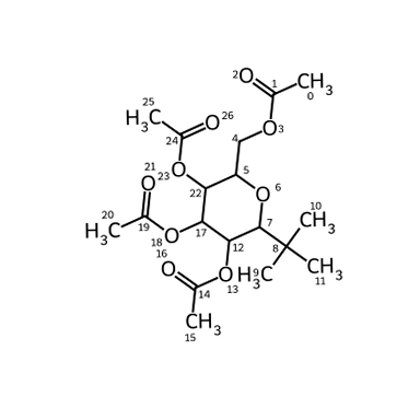 CC(=O)OCC1OC(C(C)(C)C)C(OC(C)=O)C(OC(C)=O)C1OC(C)=O